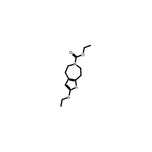 CCOC(=O)N1CCc2cc(SCC)sc2CC1